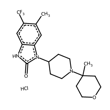 Cc1cc2c(cc1C(F)(F)F)[nH]c(=O)n2C1CCN(C2(C)CCOCC2)CC1.Cl